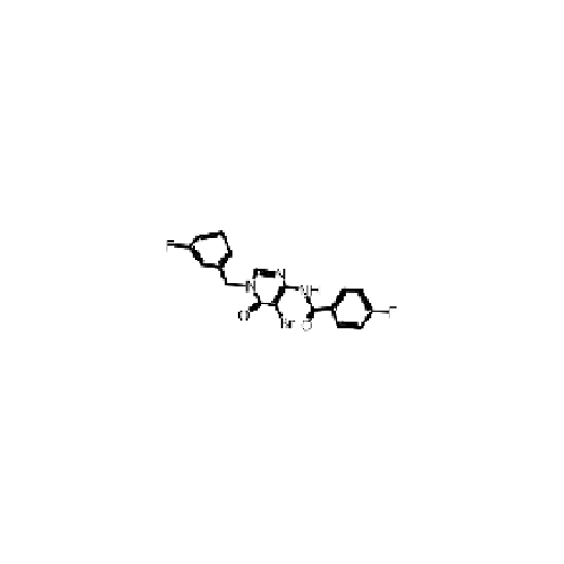 O=C(Nc1ncn(Cc2cccc(F)c2)c(=O)c1Br)c1ccc(F)cc1